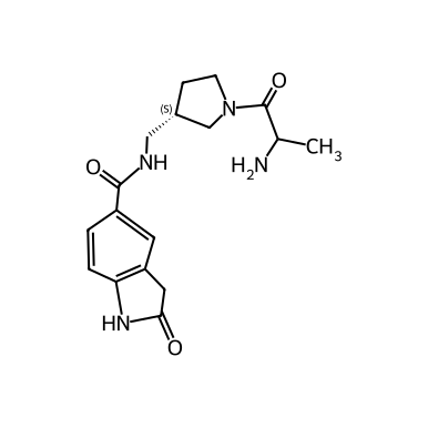 CC(N)C(=O)N1CC[C@@H](CNC(=O)c2ccc3c(c2)CC(=O)N3)C1